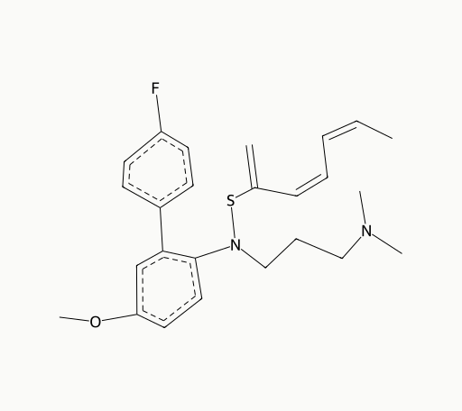 C=C(/C=C\C=C/C)SN(CCCN(C)C)c1ccc(OC)cc1-c1ccc(F)cc1